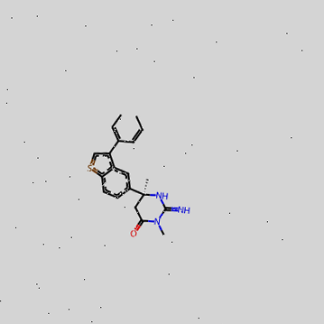 C/C=C\C(=C/C)c1csc2ccc([C@]3(C)CC(=O)N(C)C(=N)N3)cc12